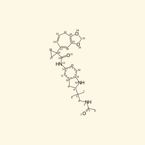 CC(=O)NCC(C)(C)C1Cc2cc(NC(=O)C3(C4=CC5=C(CC=C4)OCO5)CC3)ccc2N1